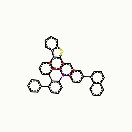 c1ccc(-c2ccccc2-c2c(-c3ccccc3)cccc2N(c2ccc(-c3cccc4ccccc34)cc2)c2ccc3c(c2)sc2ccccc23)cc1